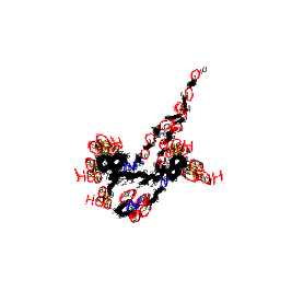 COCCOCCOCCOCCOCCOCC[N+]1=C(/C=C/C(C)=C/C=C2/N(CCCC(=O)ON3C(=O)CCC3=O)c3ccc4c(S(=O)(=O)O)cc(S(=O)(=O)O)cc4c3C2(C)CCOCCOCCOCCOC)C(C)(CCCS(=O)(=O)O)c2c1ccc1c(S(=O)(=O)O)cc(S(=O)(=O)O)cc21